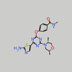 C[C@H]1CN(c2nc(Oc3ccc(C(=O)N(C)C)cc3)nc(-c3cnc(N)s3)n2)[C@@H](C)CO1